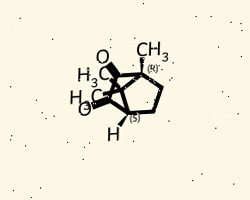 CC1(C)[C@@H]2CC[C@@]1(C)C(=O)C2=O